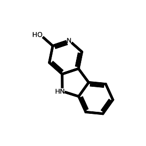 Oc1cc2[nH]c3ccccc3c2cn1